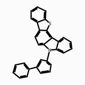 c1ccc(-c2cccc(-n3c4ccccc4c4c5sc6ccccc6c5ccc43)c2)cc1